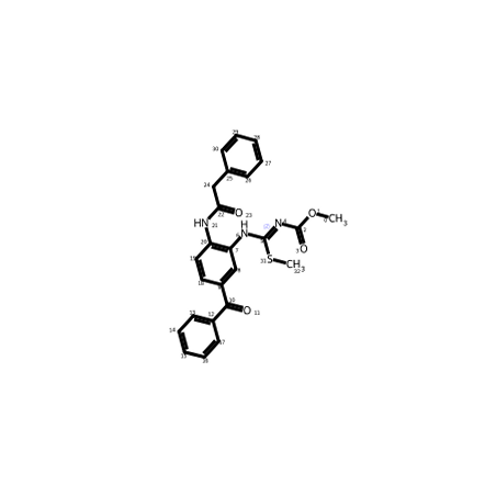 COC(=O)/N=C(/Nc1cc(C(=O)c2ccccc2)ccc1NC(=O)Cc1ccccc1)SC